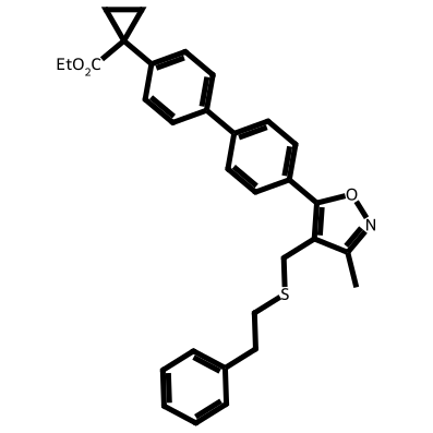 CCOC(=O)C1(c2ccc(-c3ccc(-c4onc(C)c4CSCCc4ccccc4)cc3)cc2)CC1